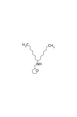 CCCCCCCC(CCCCCCC)NCC1CCCO1